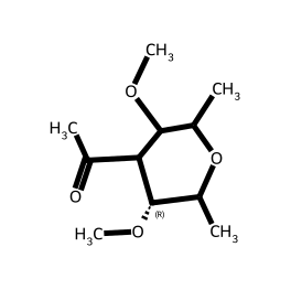 COC1C(C)OC(C)[C@H](OC)C1C(C)=O